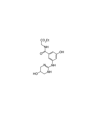 CCOC(=O)CNC(=O)c1cc(O)cc(NC2=NCC(O)CN2)c1